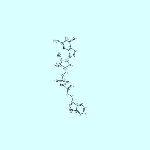 Nc1nc2c(ncn2[C@@H]2O[C@H](COS(=O)(=O)NC(=O)CCc3c[nH]c4ccccc34)[C@H](O)C2O)c(=O)[nH]1